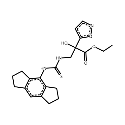 CCOC(=O)C(O)(CNC(=S)Nc1c2c(cc3c1CCC3)CCC2)c1ccno1